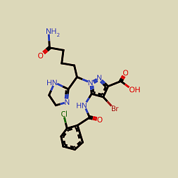 NC(=O)CCCC(C1=NCCN1)n1nc(C(=O)O)c(Br)c1NC(=O)c1ccccc1Cl